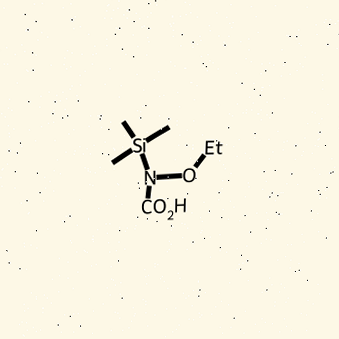 CCON(C(=O)O)[Si](C)(C)C